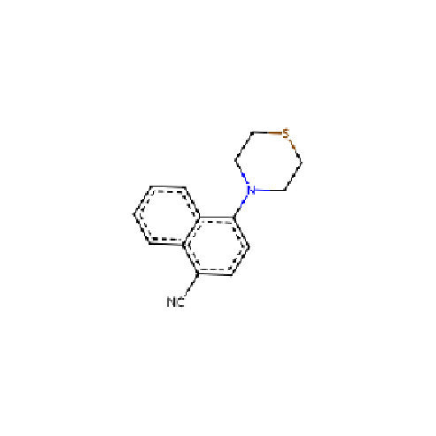 N#Cc1ccc(N2CCSCC2)c2ccccc12